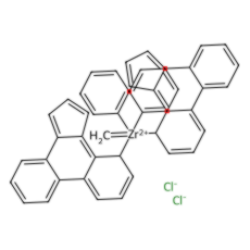 [CH2]=[Zr+2]([c]1ccccc1)([c]1ccccc1)([CH]1C=CC=c2c1c1c(c3ccccc23)=CC=C1)[CH]1C=CC=c2c1c1c(c3ccccc23)=CC=C1.[Cl-].[Cl-]